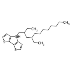 CCCCCCCCC(CC)CC(CC)C[SiH]1c2ccsc2-c2sccc21